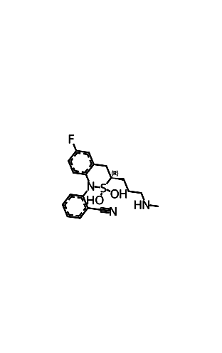 CNCCC[C@@H]1Cc2cc(F)ccc2N(c2ccccc2C#N)S1(O)O